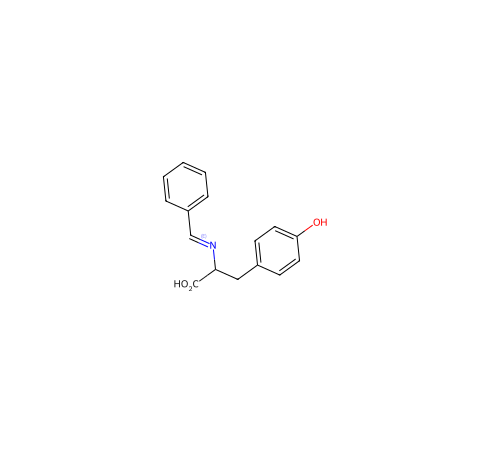 O=C(O)C(Cc1ccc(O)cc1)/N=C/c1ccccc1